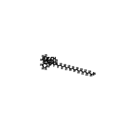 CC(C)(C)[Si](OCCCCCCCCCCCCCCCCCCCCI)(c1ccccc1)c1ccccc1